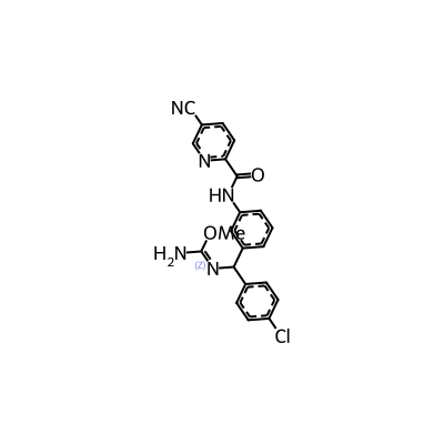 CO/C(N)=N\C(c1ccc(Cl)cc1)c1cccc(NC(=O)c2ccc(C#N)cn2)c1